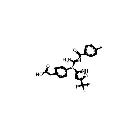 NC(=NC(=O)c1ccc(F)cc1)N(c1ccc(CC(=O)O)cc1)c1cc(C(F)(F)F)n[nH]1